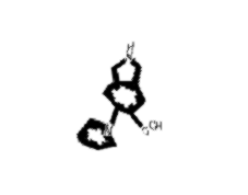 Cl.Clc1cc2c(cc1-n1cccc1)CNC2